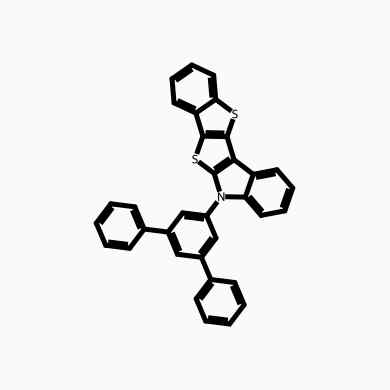 c1ccc(-c2cc(-c3ccccc3)cc(-n3c4ccccc4c4c5sc6ccccc6c5sc43)c2)cc1